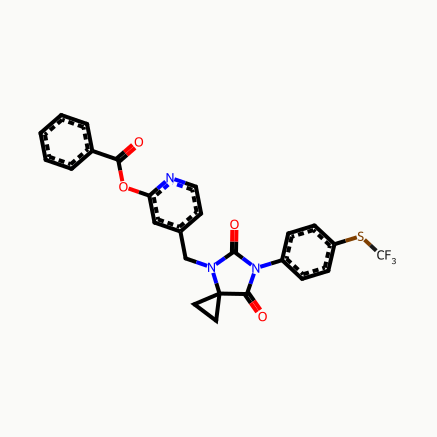 O=C(Oc1cc(CN2C(=O)N(c3ccc(SC(F)(F)F)cc3)C(=O)C23CC3)ccn1)c1ccccc1